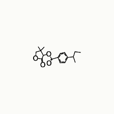 CCC(C)c1ccc(C(=O)OC2C(=O)OCC2(C)C)cc1